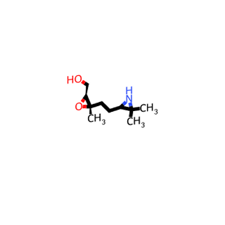 CC1(C)NC1CC[C@]1(C)O[C@H]1CO